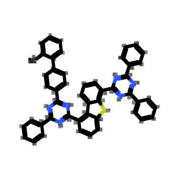 N#Cc1ccccc1-c1ccc(-c2nc(-c3ccccc3)nc(-c3cccc4sc5c(-c6nc(-c7ccccc7)nc(-c7ccccc7)n6)cccc5c34)n2)cc1